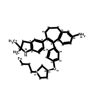 CC1(C)Cc2cc(C3=C(c4ccc(O[C@H]5CCN(CCCF)C5)cc4)c4ccc(N)cc4CCC3)ccc2N1